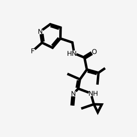 C=N/C(NC1(C)CC1)=C(\C)C(C(=O)NCc1ccnc(F)c1)=C(C)C